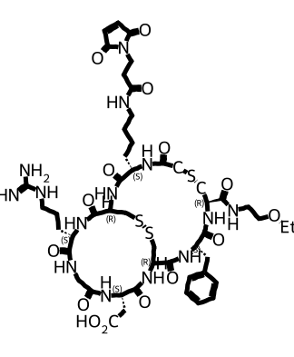 CCOCCNC(=O)[C@@H]1CSCC(=O)N[C@@H](CCCCNC(=O)CCN2C(=O)C=CC2=O)C(=O)N[C@H]2CSSC[C@H](NC(=O)[C@H](CC(=O)O)NC(=O)CNC(=O)[C@H](CCCNC(=N)N)NC2=O)C(=O)N[C@@H](Cc2ccccc2)C(=O)N1